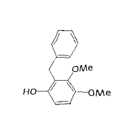 COc1ccc(O)c(Cc2ccccc2)c1OC